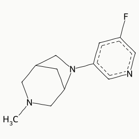 CN1CC2CC(C1)N(c1cncc(F)c1)C2